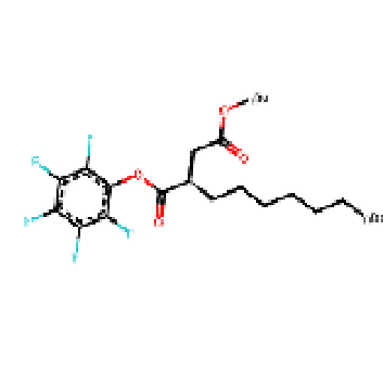 CCCCCCCCCCCCCCCC[C@H](CC(=O)OC(C)(C)C)C(=O)Oc1c(F)c(F)c(F)c(F)c1F